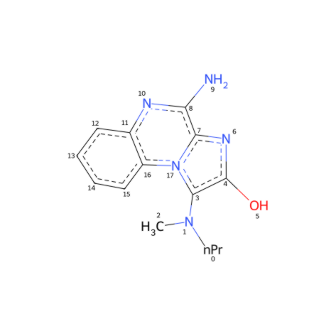 CCCN(C)c1c(O)nc2c(N)nc3ccccc3n12